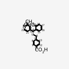 Cc1cc([C@@H](CCc2ccc(C(=O)O)cc2)c2ccccc2C=O)ccn1